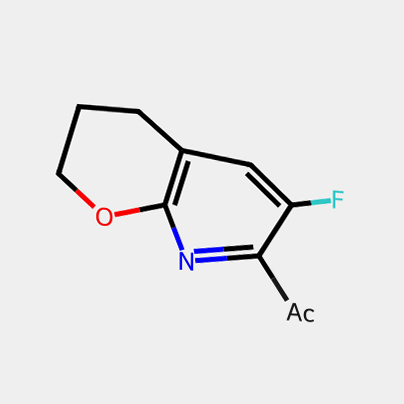 CC(=O)c1nc2c(cc1F)CCCO2